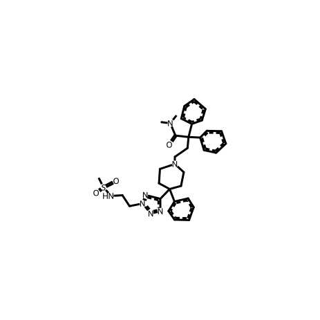 CN(C)C(=O)C(CCN1CCC(c2ccccc2)(c2nnn(CCNS(C)(=O)=O)n2)CC1)(c1ccccc1)c1ccccc1